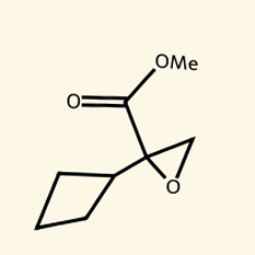 COC(=O)C1(C2CCC2)CO1